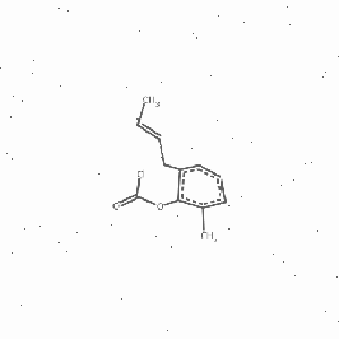 C/C=C/Cc1cccc(C)c1OC(=O)Cl